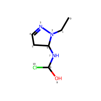 CCN1N=CCC1NC(O)Cl